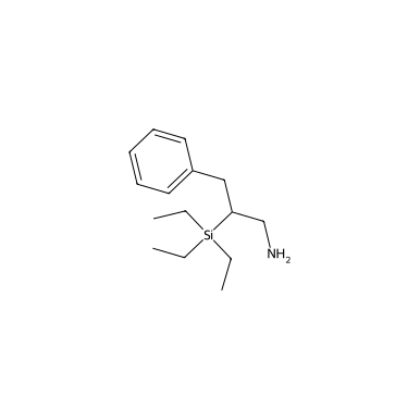 CC[Si](CC)(CC)C(CN)Cc1ccccc1